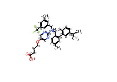 Cc1cc(CN(Cc2ccc(C)cc2-c2cc(C(C)C)ccc2C)c2ncc(OCCCC(=O)O)cn2)cc(C(F)(F)F)c1